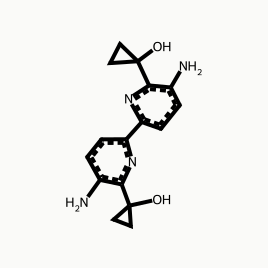 Nc1ccc(-c2ccc(N)c(C3(O)CC3)n2)nc1C1(O)CC1